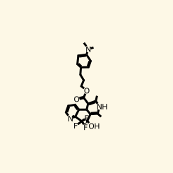 CC1=C(C(=O)O)C(c2cccnc2C(F)(F)F)C(C(=O)OCCCc2ccc(N(C)C)cc2)=C(C)N1